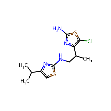 CC(C)c1csc(NCC(C)c2nc(N)sc2Cl)n1